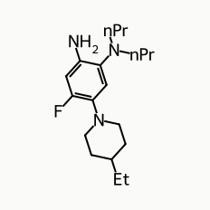 CCCN(CCC)c1cc(N2CCC(CC)CC2)c(F)cc1N